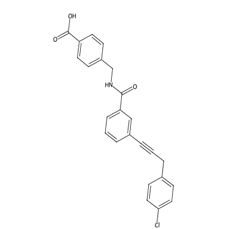 O=C(O)c1ccc(CNC(=O)c2cccc(C#CCc3ccc(Cl)cc3)c2)cc1